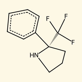 FC(F)(F)[C@]1(c2ccccc2)CCCN1